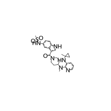 CN(c1ncccc1NC1(C)CC1)C1CCN(C(=O)c2c[nH]c3ccc(NS(C)(=O)=O)cc23)CC1